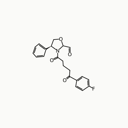 O=CC1OC[C@H](c2ccccc2)N1C(=O)CCCC(=O)c1ccc(F)cc1